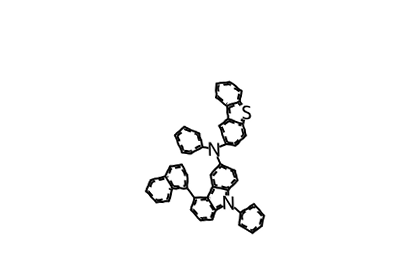 c1ccc(N(c2ccc3sc4ccccc4c3c2)c2ccc3c(c2)c2c(-c4cccc5ccccc45)cccc2n3-c2ccccc2)cc1